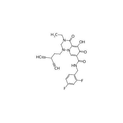 C#CC(C#C)CCN1CN(CC)C(=O)c2c(O)c(=O)c(C(=O)NCc3ccc(F)cc3F)cn21